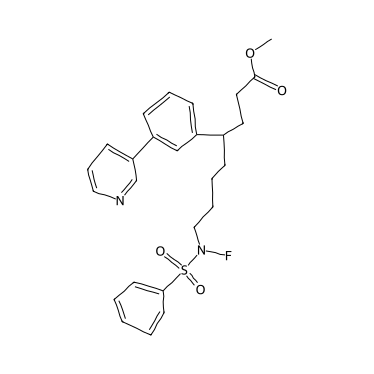 COC(=O)CCC(CCCCN(F)S(=O)(=O)c1ccccc1)c1cccc(-c2cccnc2)c1